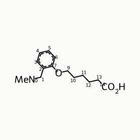 CNCc1ccccc1OCCCCCC(=O)O